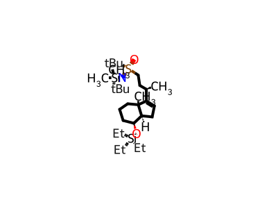 CC[Si](CC)(CC)O[C@H]1CCC[C@]2(C)C([C@H](C)CCS(=O)(=N[Si](C)(C)C(C)(C)C)C(C)(C)C)=CC[C@@H]12